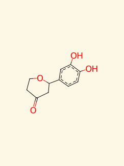 O=C1CCOC(c2ccc(O)c(O)c2)C1